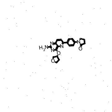 Nc1nc(OC2CCOC2)c2nc(-c3ccc(N4CCCC4=O)cc3)ccc2n1